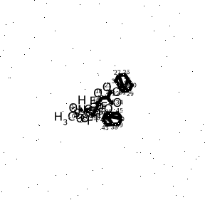 CS(=O)(=O)NS(=O)(=O)C(F)(F)C(F)(F)C(F)(F)C(=O)C(C(=O)OC12CC3CC(CC(C3)C1)C2)C(=O)OC12CC3CC(CC(C3)C1)C2